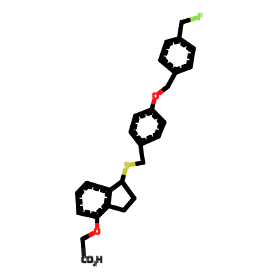 O=C(O)COc1cccc2c1CCC2SCc1ccc(OCc2ccc(CF)cc2)cc1